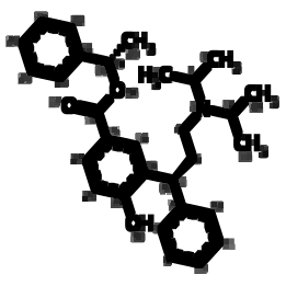 CC(C)N(CC[C@@H](c1ccccc1)c1cc(C(=O)O[C@@H](C)c2ccccc2)ccc1O)C(C)C